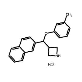 Cc1cccc(OC(c2ccc3ccccc3c2)C2CNC2)c1.Cl